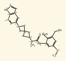 COc1c(CO)cc(OC(F)(F)F)cc1NC(=O)N(C)C1CC2(C1)CN(c1cnc3[nH]ncc3c1)C2